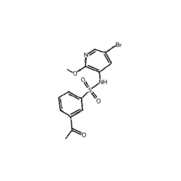 COc1ncc(Br)cc1NS(=O)(=O)c1cccc(C(C)=O)c1